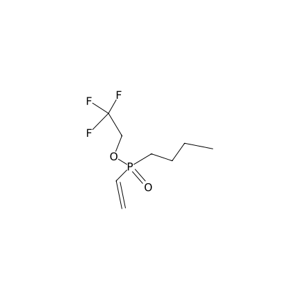 C=CP(=O)(CCCC)OCC(F)(F)F